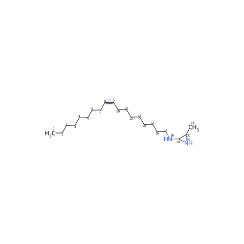 CCCCCCCC/C=C\CCCCCCCCNC1NC1C